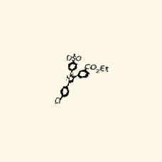 CCOC(=O)c1cccc(-c2cc(-c3ccc(Cl)cc3)nn2-c2ccc(S(C)(=O)=O)cc2)c1